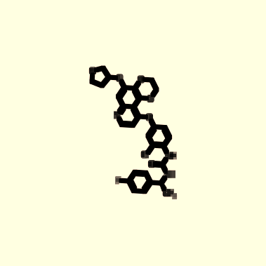 C[C@H](NC(=O)Nc1ccc(Oc2ccnc3cc(OC4CCOC4)c4c(c23)OCCO4)cc1Cl)c1ccc(F)cc1